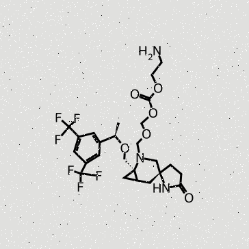 C[C@@H](OC[C@@]12CC1C[C@]1(CCC(=O)N1)CN2COCOC(=O)OCCN)c1cc(C(F)(F)F)cc(C(F)(F)F)c1